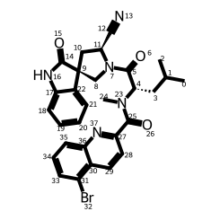 CC(C)C[C@@H](C(=O)N1C[C@]2(C[C@H]1C#N)C(=O)Nc1ccccc12)N(C)C(=O)c1ccc2c(Br)cccc2n1